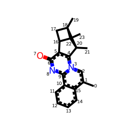 Cc1cn2c3c(c(=O)nc2c2ccccc12)C1CC2(C)C3(C)C12C